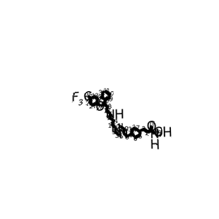 O=C(/C=C/c1ccc(CN2CCN(CCCNCCC(Oc3ccc(C(F)(F)F)cc3)c3ccccc3)CC2)cc1)NO